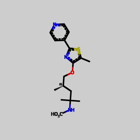 Cc1sc(-c2ccncc2)nc1OC[C@@H](C)CC(C)(C)NC(=O)O